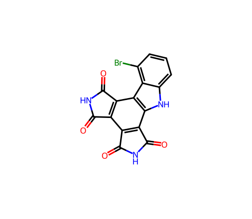 O=c1[nH]c(=O)c2c1c1[nH]c3cccc(Br)c3c1c1c(=O)[nH]c(=O)c21